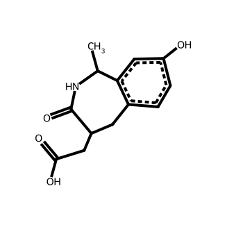 CC1NC(=O)C(CC(=O)O)Cc2ccc(O)cc21